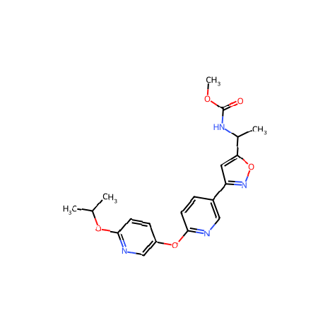 COC(=O)NC(C)c1cc(-c2ccc(Oc3ccc(OC(C)C)nc3)nc2)no1